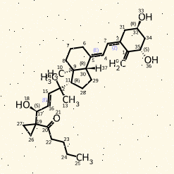 C=C1/C(=C\C=C2/CCC[C@]3(C)[C@@H](C(C)(C)/C=C/[C@H](O)C4(C(=O)CCCC)CC4)CC[C@@H]23)C[C@@H](O)C[C@@H]1O